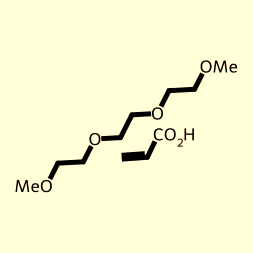 C=CC(=O)O.COCCOCCOCCOC